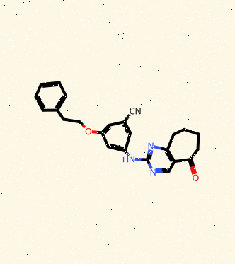 N#Cc1cc(Nc2ncc3c(n2)CCCCC3=O)cc(OCCc2ccccc2)c1